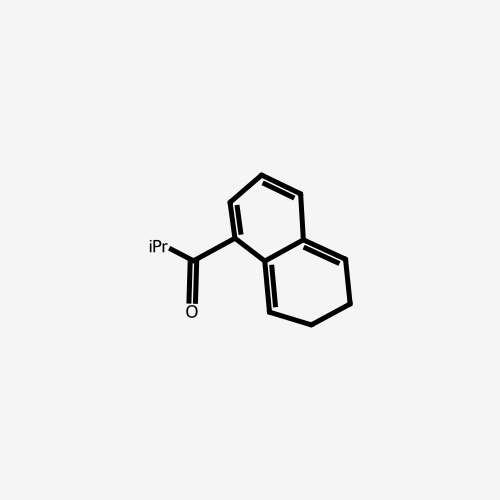 CC(C)C(=O)c1cccc2c1=CCCC=2